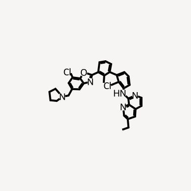 CCc1cnc2c(Nc3cccc(-c4cccc(-c5nc6cc(CN7CCCC7)cc(Cl)c6o5)c4C)c3Cl)nccc2c1